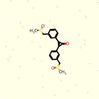 C[S+]([O-])Cc1cccc(-c2c(-c3cccc(C[S+](C)[O-])c3)c2=O)c1